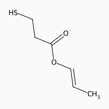 CC=COC(=O)CCS